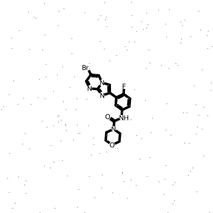 O=C(Nc1ccc(F)c(-c2cn3cc(Br)cnc3n2)c1)N1CCOCC1